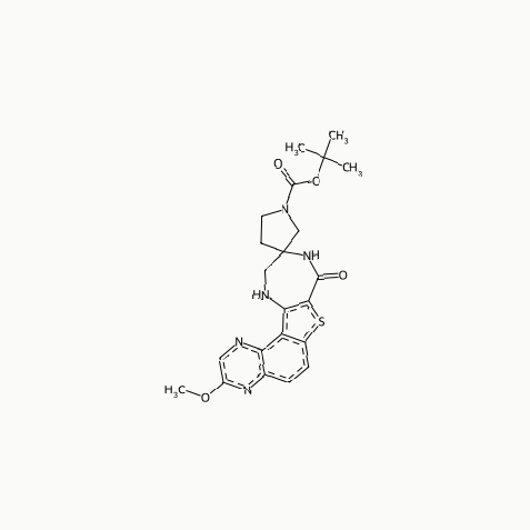 COc1cnc2c(ccc3sc4c(c32)NCC2(CCN(C(=O)OC(C)(C)C)C2)NC4=O)n1